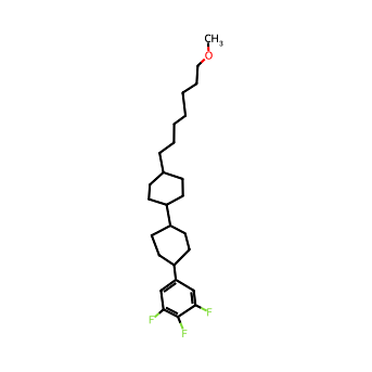 COCCCCCCCC1CCC(C2CCC(c3cc(F)c(F)c(F)c3)CC2)CC1